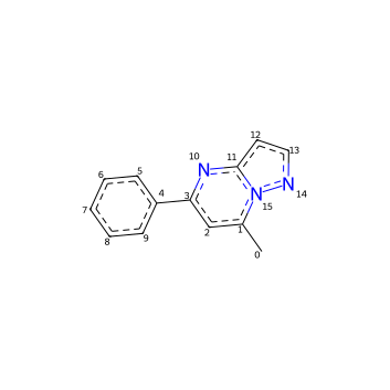 Cc1cc(-c2ccccc2)nc2ccnn12